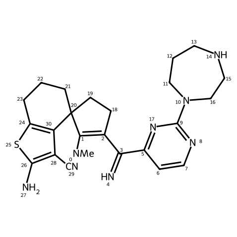 CNC1=C(C(=N)c2ccnc(N3CCCNCC3)n2)CCC12CCCc1sc(N)c(C#N)c12